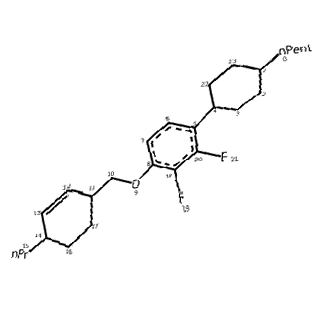 CCCCCC1CCC(c2ccc(OCC3C=CC(CCC)CC3)c(F)c2F)CC1